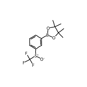 CC1(C)OB(c2cccc([S+]([O-])C(F)(F)F)c2)OC1(C)C